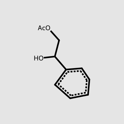 CC(=O)OCC(O)c1ccccc1